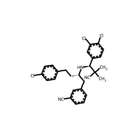 CC(C)(C#N)[C@@H](N[C@@H](CCc1ccc(Cl)cc1)Cc1cccc(C#N)c1)c1ccc(Cl)c(Cl)c1